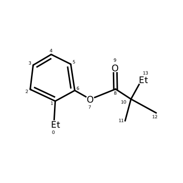 CCc1ccccc1OC(=O)C(C)(C)CC